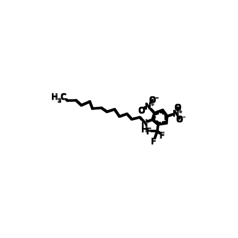 CCCCCCCCCCCCCNc1c([N+](=O)[O-])cc([N+](=O)[O-])cc1C(F)(F)F